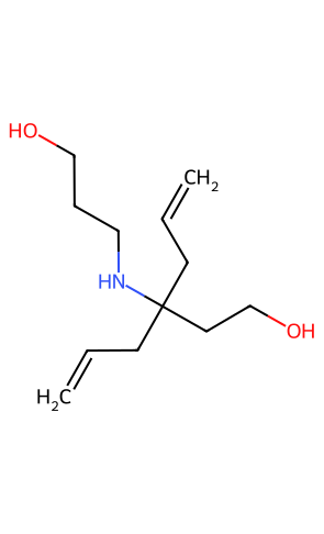 C=CCC(CC=C)(CCO)NCCCO